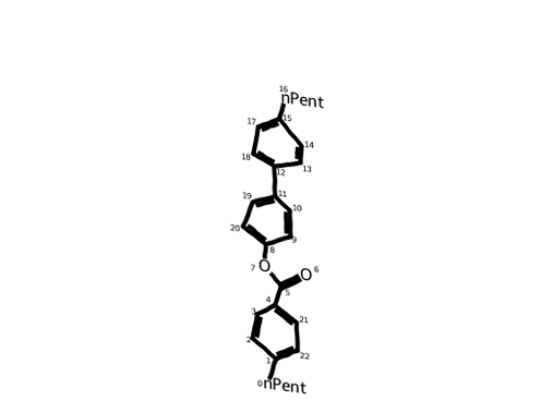 CCCCCc1ccc(C(=O)Oc2ccc(-c3ccc(CCCCC)cc3)cc2)cc1